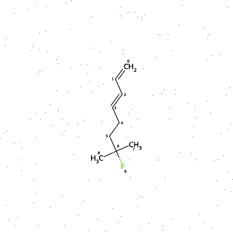 C=C/C=C/CCC(C)(C)F